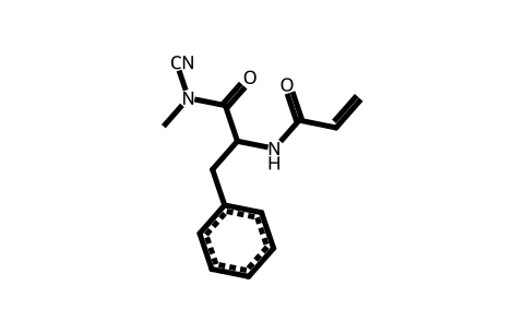 C=CC(=O)NC(Cc1ccccc1)C(=O)N(C)C#N